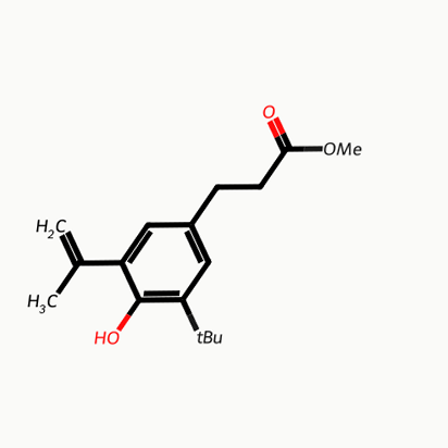 C=C(C)c1cc(CCC(=O)OC)cc(C(C)(C)C)c1O